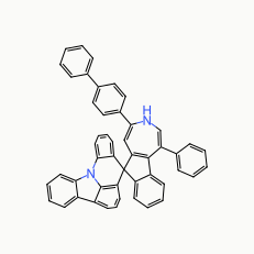 C1=C(c2ccc(-c3ccccc3)cc2)NC=C(c2ccccc2)C2=C1C1(c3ccccc32)c2ccccc2-n2c3ccccc3c3cccc1c32